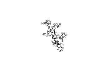 CC(C)C[C@H](NC(=O)[C@H](CCCNC(=N)N)NC(=O)[C@H](CC(=O)O)NC(=O)[C@H](Cc1c[nH]c2ccccc12)NC(=O)[C@H](CC(=O)O)NC(=O)[C@@H](N)Cc1ccccc1)C(=O)O